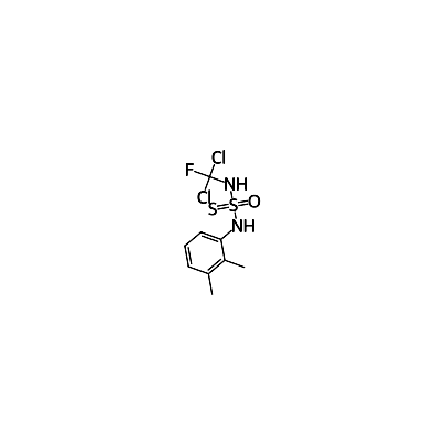 Cc1cccc(NS(=O)(=S)NC(F)(Cl)Cl)c1C